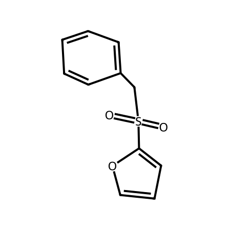 O=S(=O)(Cc1ccccc1)c1ccco1